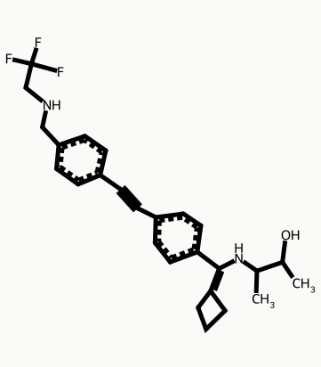 CC(O)C(C)NC(=C1CCC1)c1ccc(C#Cc2ccc(CNCC(F)(F)F)cc2)cc1